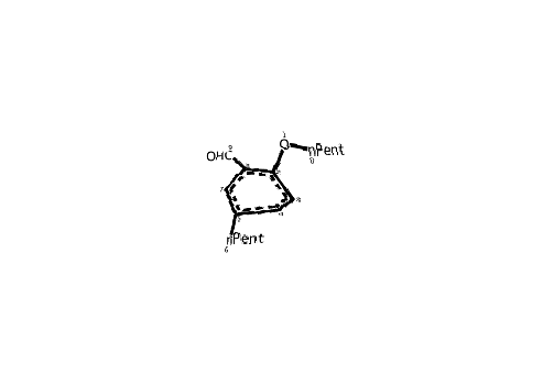 CCCCCOc1ccc(CCCCC)cc1C=O